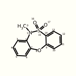 CN1c2ccccc2Oc2ccccc2S1(=O)=O